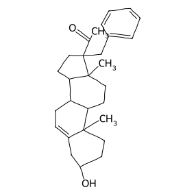 CC(=O)C1(Cc2ccccc2)CCC2C3CC=C4CC(O)CCC4(C)C3CCC21C